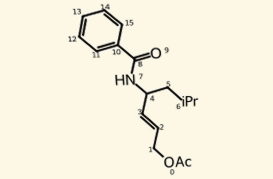 CC(=O)OCC=CC(CC(C)C)NC(=O)c1ccccc1